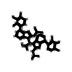 Cc1ccc(-c2cccc3c2C=C(CC(C)C)[CH]3[Zr]([CH]2C(CC(C)C)=Cc3c(-c4ccc(C)c(C)c4C)cccc32)[SiH](C)C)c(C)c1C